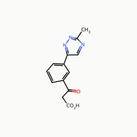 Cc1ncc(-c2cccc(C(=O)CC(=O)O)c2)nn1